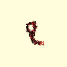 C=C1CC2CCC[C@@]34C[C@H]5OC6C(OC7CCC(CC(=O)OC8C[C@@H]9O[C@@H]%10C[C@]%11(CC%12O[C@@]%13(CCC%12O%11)C[C@H](C)CC(CC%11OC(C(O)CO)CC%11OC)O%13)O[C@@H]%10C[C@@H]9OC8CC8OC(CCC1O2)C[C@@H](C)C8=C)O[C@@H]7C6O3)C5O4